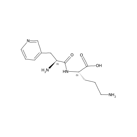 NCCC[C@H](NC(=O)[C@@H](N)Cc1cccnc1)C(=O)O